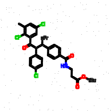 CCCC(c1ccc(C(=O)NCCC(=O)OC(C)(C)C)cc1)C(C(=O)c1cc(Cl)cc(C)c1Cl)c1ccc(Cl)cc1